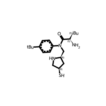 CC[C@H](C)[C@H](N)C(=O)N(C[C@H]1C[C@@H](S)CN1)c1ccc(C(C)(C)C)cc1